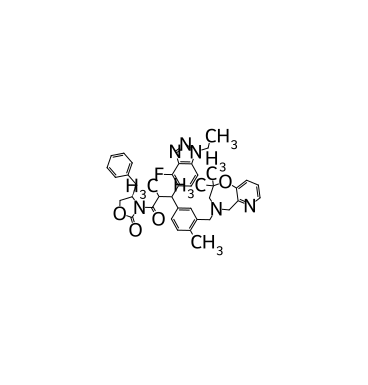 CCn1nnc2c(F)c(C(c3ccc(C)c(CN4Cc5ncccc5OC(C)(C)C4)c3)C(C)C(=O)N3C(=O)OC[C@H]3Cc3ccccc3)ccc21